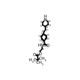 CC(C)(C)C(=O)OCCNC(=O)c1ccc(CCC2CCNCC2)cc1